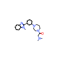 CN(C)CC(=O)N1CCCN(c2cccc(-c3nc4ccccc4n3C)c2)CC1